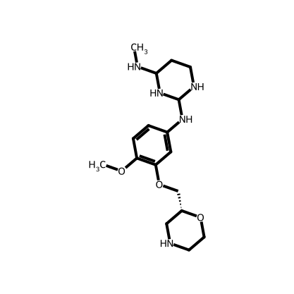 CNC1CCNC(Nc2ccc(OC)c(OC[C@H]3CNCCO3)c2)N1